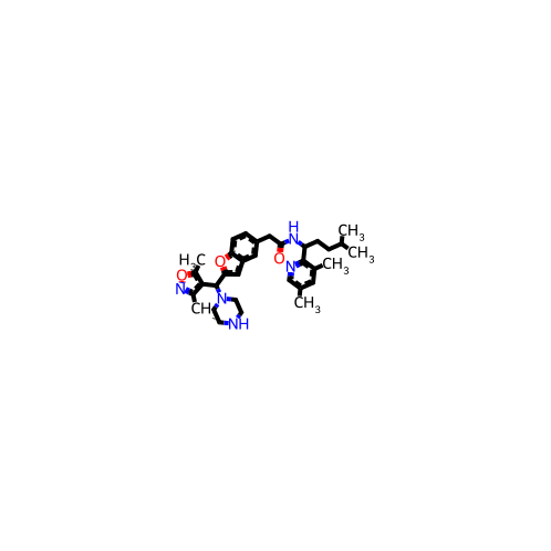 Cc1cnc(C(CCC(C)C)NC(=O)Cc2ccc3oc(C(c4c(C)noc4C)N4CCNCC4)cc3c2)c(C)c1